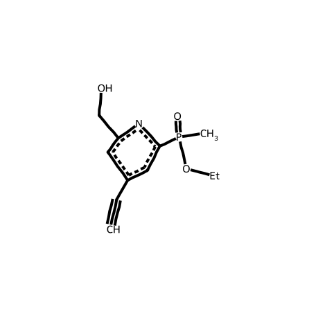 C#Cc1cc(CO)nc(P(C)(=O)OCC)c1